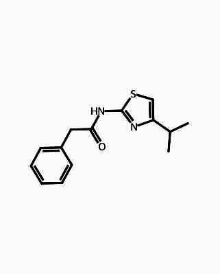 CC(C)c1csc(NC(=O)Cc2ccccc2)n1